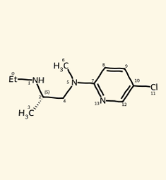 CCN[C@@H](C)CN(C)c1ccc(Cl)cn1